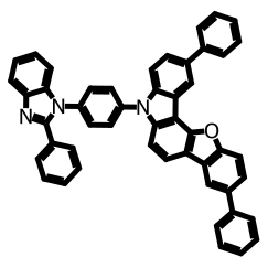 c1ccc(-c2ccc3oc4c(ccc5c4c4cc(-c6ccccc6)ccc4n5-c4ccc(-n5c(-c6ccccc6)nc6ccccc65)cc4)c3c2)cc1